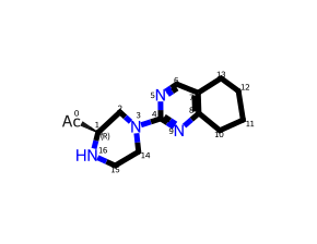 CC(=O)[C@H]1CN(c2ncc3c(n2)CCCC3)CCN1